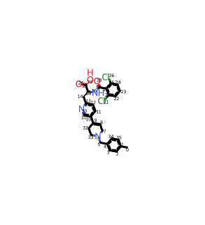 Cc1ccc(CN2CC=C(c3ccc(C[C@H](NC(=O)c4c(Cl)cccc4Cl)C(=O)O)nc3)CC2)cc1